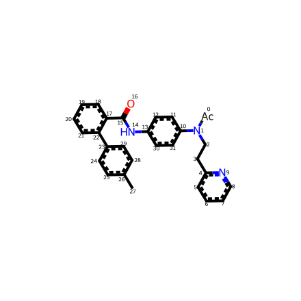 CC(=O)N(CCc1ccccn1)c1ccc(NC(=O)c2ccccc2-c2ccc(C)cc2)cc1